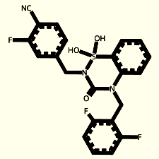 N#Cc1ccc(CN2C(=O)N(Cc3c(F)cccc3F)c3ccccc3S2(O)O)cc1F